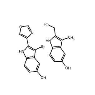 CCc1c(-c2cocn2)[nH]c2ccc(O)cc12.Cc1c(CC(C)C)[nH]c2ccc(O)cc12